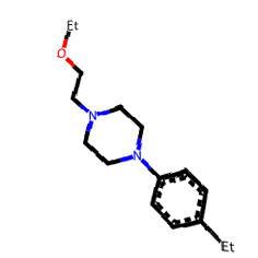 CCOCCN1CCN(c2ccc(CC)cc2)CC1